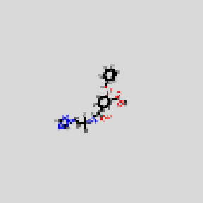 COC(=O)c1cc(C(O)CNC(C)(C)CCn2cncn2)ccc1OCc1ccccc1